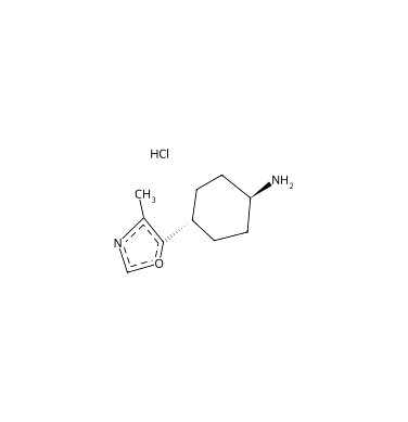 Cc1ncoc1[C@H]1CC[C@H](N)CC1.Cl